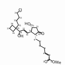 COC(=O)/C=C/CCCC[C@H]1C(=O)C[C@@H](O)[C@@H]1/C=C/[C@@H](O)C1(CCCCCl)CCC1